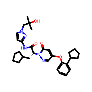 CC(C)(O)Cn1ccc(NC(=O)[C@@H](CC2CCCC2)n2ncc(Oc3ccccc3C3CCCC3)cc2=O)n1